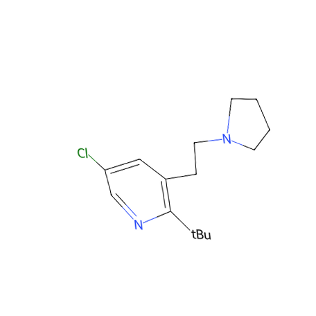 CC(C)(C)c1ncc(Cl)cc1CCN1CCCC1